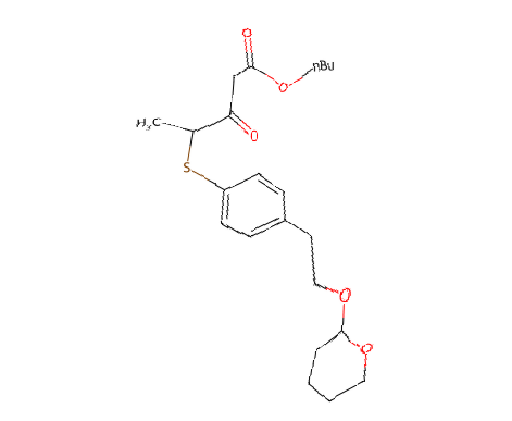 CCCCOC(=O)CC(=O)C(C)Sc1ccc(CCOC2CCCCO2)cc1